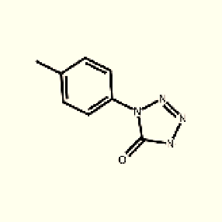 Cc1ccc(N2N=N[N]C2=O)cc1